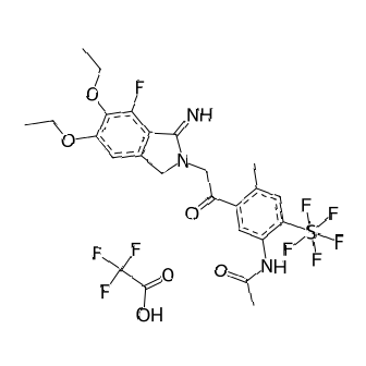 CCOc1cc2c(c(F)c1OCC)C(=N)N(CC(=O)c1cc(NC(C)=O)c(S(F)(F)(F)(F)F)cc1C)C2.O=C(O)C(F)(F)F